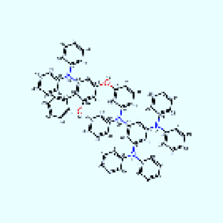 c1ccc(N(c2ccccc2)c2cc(N(c3ccccc3)c3ccccc3)cc(N(c3ccccc3)c3cccc(Oc4cc(N(c5ccccc5)c5ccccc5)c5c(c4)oc4ccccc45)c3)c2)cc1